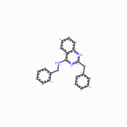 c1ccc(CNc2nc(Cc3ccccc3)nc3ccccc23)cc1